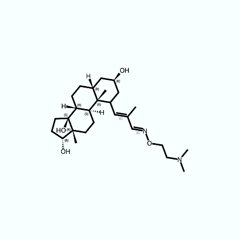 CC(/C=N/OCCN(C)C)=C\C1C[C@H](O)C[C@H]2CC[C@@H]3[C@H](CC[C@]4(C)[C@H](O)CC[C@]34O)[C@@]12C